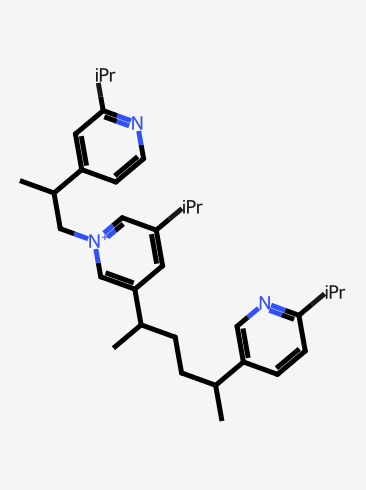 CC(C)c1cc(C(C)CCC(C)c2ccc(C(C)C)nc2)c[n+](CC(C)c2ccnc(C(C)C)c2)c1